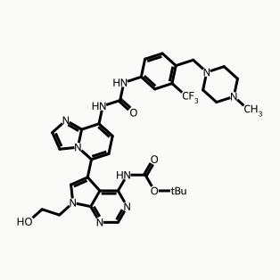 CN1CCN(Cc2ccc(NC(=O)Nc3ccc(-c4cn(CCO)c5ncnc(NC(=O)OC(C)(C)C)c45)n4ccnc34)cc2C(F)(F)F)CC1